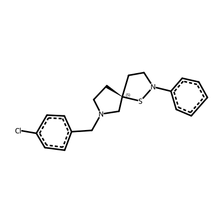 Clc1ccc(CN2CC[C@]3(CCN(c4ccccc4)S3)C2)cc1